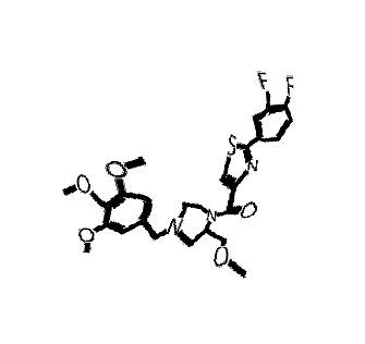 COCC1CN(Cc2cc(OC)c(OC)c(OC)c2)CCN1C(=O)c1csc(-c2ccc(F)c(F)c2)n1